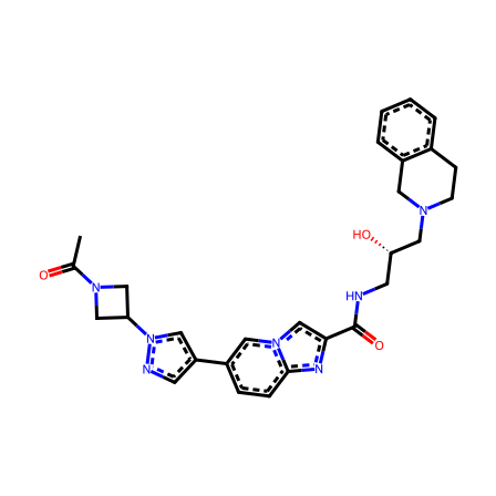 CC(=O)N1CC(n2cc(-c3ccc4nc(C(=O)NC[C@H](O)CN5CCc6ccccc6C5)cn4c3)cn2)C1